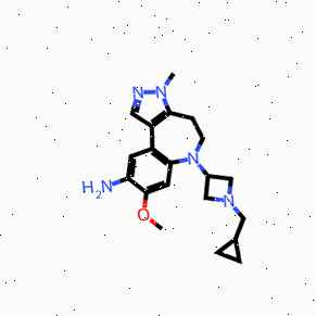 COc1cc2c(cc1N)-c1cnn(C)c1CCN2C1CN(CC2CC2)C1